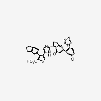 O=C(O)c1scc(-c2cnc([C@@H]3CCc4nc(-c5cc(Cl)ccc5-n5cnnn5)cc(=O)n43)[nH]2)c1-c1ccc2c(c1)CCC2